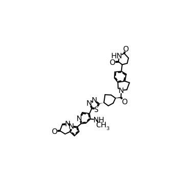 CNc1cc(-c2ccc3n2N=CC(=O)C3)ncc1-c1nnc([C@H]2CC[C@H](C(=O)N3CCc4cc(C5CCC(=O)NC5=O)ccc4C3)CC2)s1